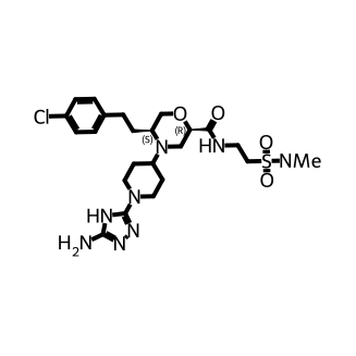 CNS(=O)(=O)CCNC(=O)[C@H]1CN(C2CCN(c3nnc(N)[nH]3)CC2)[C@@H](CCc2ccc(Cl)cc2)CO1